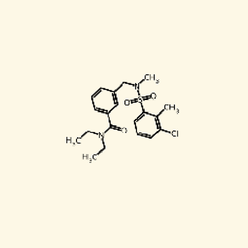 CCN(CC)C(=O)c1cccc(CN(C)S(=O)(=O)c2cccc(Cl)c2C)c1